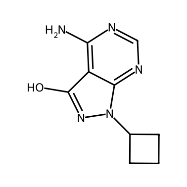 Nc1ncnc2c1c(O)nn2C1CCC1